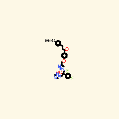 COc1ccc(CCC(=O)c2ccc(OCc3cn(CC(O)(Cn4cncn4)c4ccc(F)cc4F)nn3)cc2)cc1